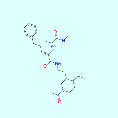 CCC1CCN(C(C)=O)CC1CCNC(=O)C(/C=C(\C)C(=O)NC)=C/CCc1ccccc1